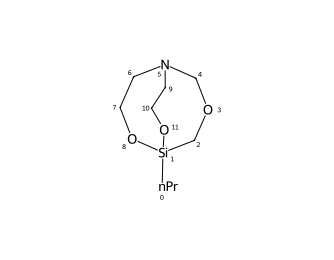 CCC[Si]12COCN(CCO1)CCO2